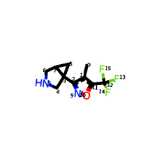 Cc1c(C23CNCC2C3)noc1C(F)(F)F